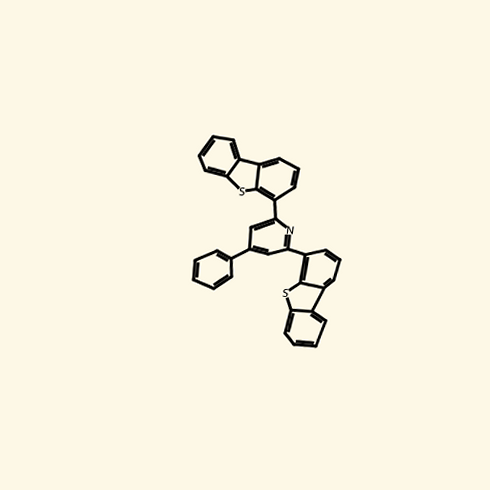 c1ccc(-c2cc(-c3cccc4c3sc3ccccc34)nc(-c3cccc4c3sc3ccccc34)c2)cc1